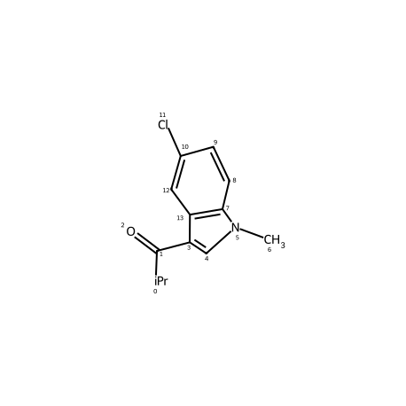 CC(C)C(=O)c1cn(C)c2ccc(Cl)cc12